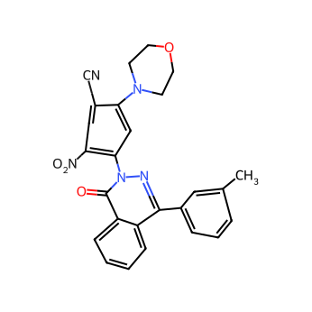 Cc1cccc(-c2nn(-c3cc(N4CCOCC4)c(C#N)cc3[N+](=O)[O-])c(=O)c3ccccc23)c1